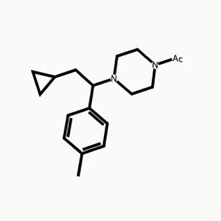 CC(=O)N1CCN(C(CC2CC2)c2ccc(C)cc2)CC1